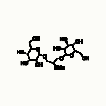 CNC(COC1OC(CO)[C@@H](O)[C@@H](O)[C@@H]1O)COC1OC(CO)[C@@H](O)[C@H](O)[C@@H]1O